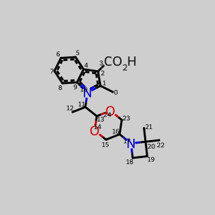 Cc1c(C(=O)O)c2ccccc2n1C(C)C1OCC(N2CCC2(C)C)CO1